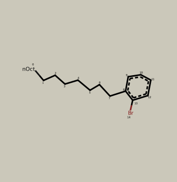 CCCCCCCCCCCCCCCc1ccccc1Br